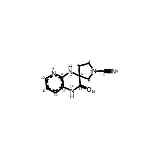 N#CN1CCC2(C1)Nc1ncccc1NC2=O